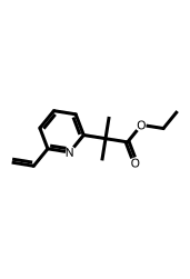 C=Cc1cccc(C(C)(C)C(=O)OCC)n1